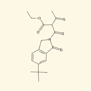 CCOC(=O)C(C(C)=O)C(=O)N1Cc2ccc(C(C)(C)C)cc2C1=O